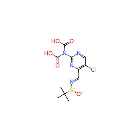 CC(C)(C)[S@+]([O-])/N=C/c1nc(N(C(=O)O)C(=O)O)ncc1Cl